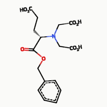 O=C(O)CC[C@@H](C(=O)OCc1ccccc1)N(CC(=O)O)CC(=O)O